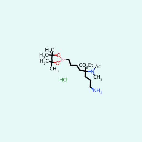 CCOC(=O)C(CCCN)(CCCCB1OC(C)(C)C(C)(C)O1)N(C)C(C)=O.Cl